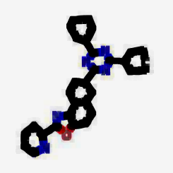 c1ccc(-c2nc(-c3ccccc3)nc(-c3ccc4c(ccc5oc(-c6ccccn6)nc54)c3)n2)cc1